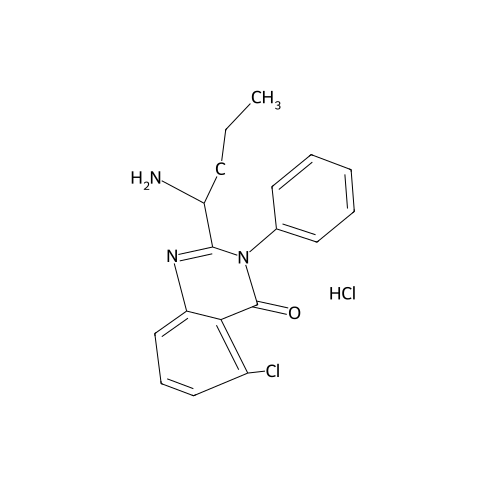 CCCC(N)c1nc2cccc(Cl)c2c(=O)n1-c1ccccc1.Cl